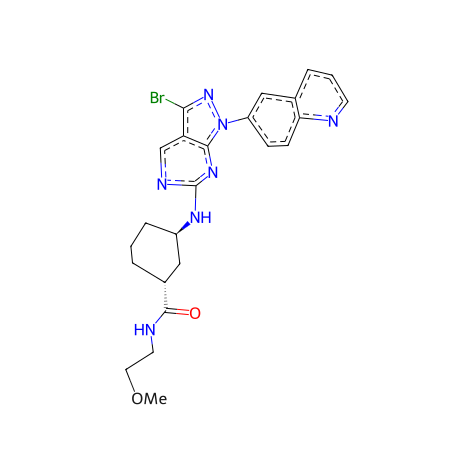 COCCNC(=O)[C@@H]1CCC[C@@H](Nc2ncc3c(Br)nn(-c4ccc5ncccc5c4)c3n2)C1